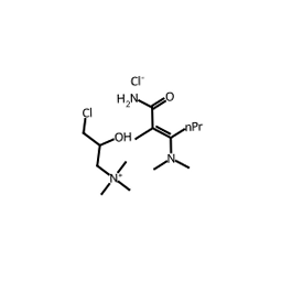 CCCC(=C(C)C(N)=O)N(C)C.C[N+](C)(C)CC(O)CCl.[Cl-]